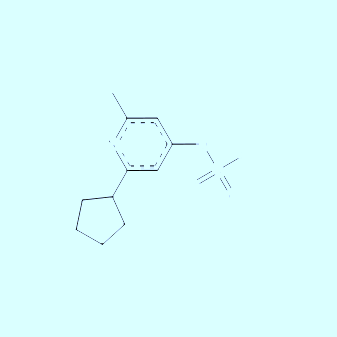 Cc1cc(OS(=O)(=O)C(F)(F)F)cc(C2CCCC2)n1